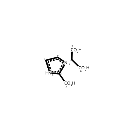 O=C(O)CC(=O)O.O=C(O)c1ncc[nH]1